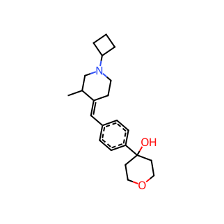 CC1CN(C2CCC2)CCC1=Cc1ccc(C2(O)CCOCC2)cc1